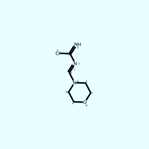 N=C(Cl)/N=C/N1CCOCC1